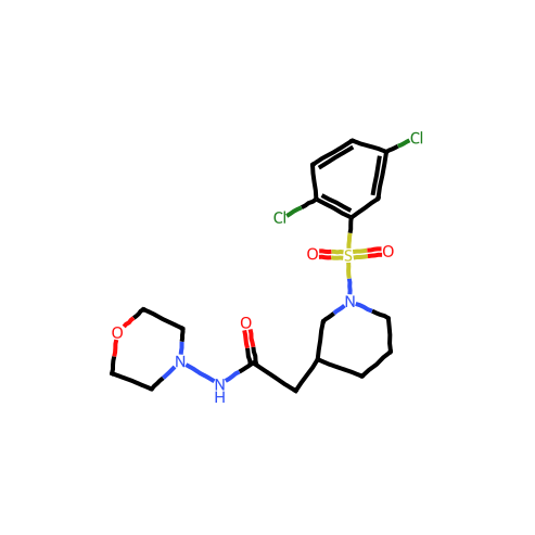 O=C(CC1CCCN(S(=O)(=O)c2cc(Cl)ccc2Cl)C1)NN1CCOCC1